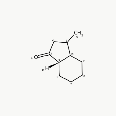 CC1CC(=O)[C@H]2CCCCC12